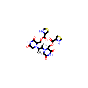 CC(C(C)N1CC(=O)NC(=O)C1COC(=O)C1CSCN1)N1CC(=O)NC(=O)C1COC(=O)C1CSCN1